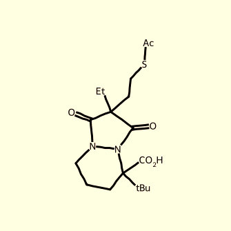 CCC1(CCSC(C)=O)C(=O)N2CCCC(C(=O)O)(C(C)(C)C)N2C1=O